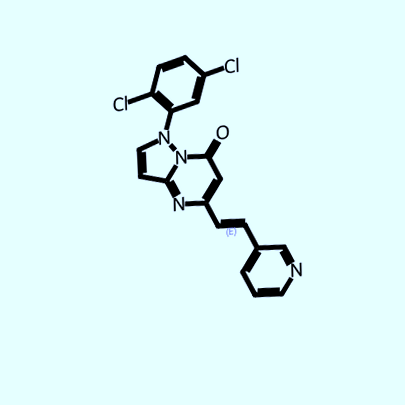 O=c1cc(/C=C/c2cccnc2)nc2ccn(-c3cc(Cl)ccc3Cl)n12